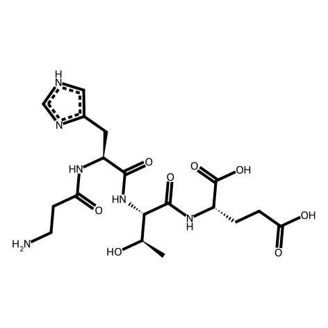 C[C@@H](O)[C@H](NC(=O)[C@H](Cc1c[nH]cn1)NC(=O)CCN)C(=O)N[C@@H](CCC(=O)O)C(=O)O